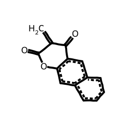 C=C1C(=O)Oc2cc3ccccc3cc2C1=O